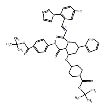 CC(C)(C)OC(=O)c1ccc(NC(=O)C2C(OC3CCN(C(=O)OC(C)(C)C)CC3)CC(c3ccccc3)CN2C(=O)/C=C/c2cc(Cl)ccc2-n2cnnn2)cc1